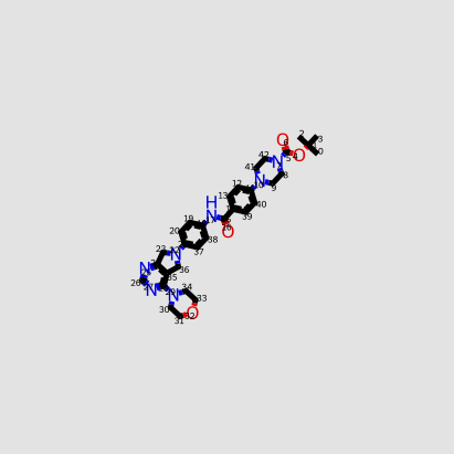 CC(C)(C)OC(=O)N1CCN(c2ccc(C(=O)Nc3ccc(N4Cc5ncnc(N6CCOCC6)c5C4)cc3)cc2)CC1